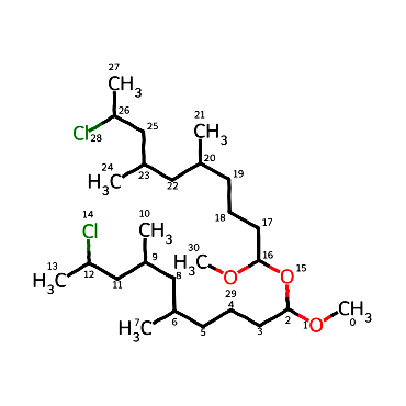 COC(CCCC(C)CC(C)CC(C)Cl)OC(CCCC(C)CC(C)CC(C)Cl)OC